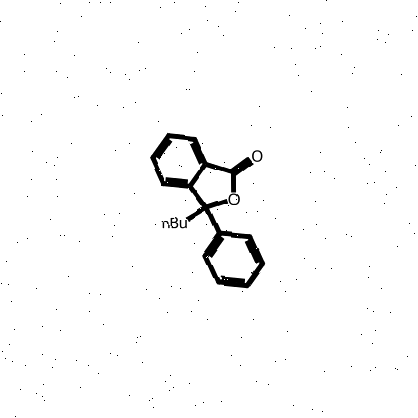 CCCCC1(c2ccccc2)OC(=O)c2ccccc21